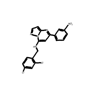 O=[N+]([O-])c1cccc(-c2cc(NCc3ccc(Cl)cc3Cl)n3nccc3n2)c1